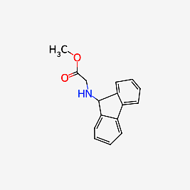 COC(=O)CNC1c2ccccc2-c2ccccc21